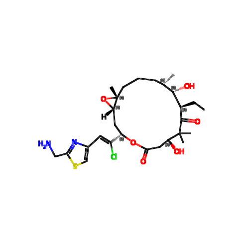 CC[C@H]1C(=O)C(C)(C)[C@@H](O)CC(=O)O[C@H](C(Cl)=Cc2csc(CN)n2)C[C@@H]2O[C@]2(C)CCC[C@H](C)[C@@H]1O